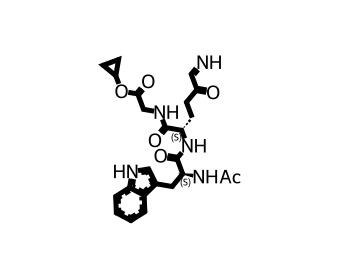 CC(=O)N[C@@H](Cc1c[nH]c2ccccc12)C(=O)N[C@@H](CCC(=O)C=N)C(=O)NCC(=O)OC1CC1